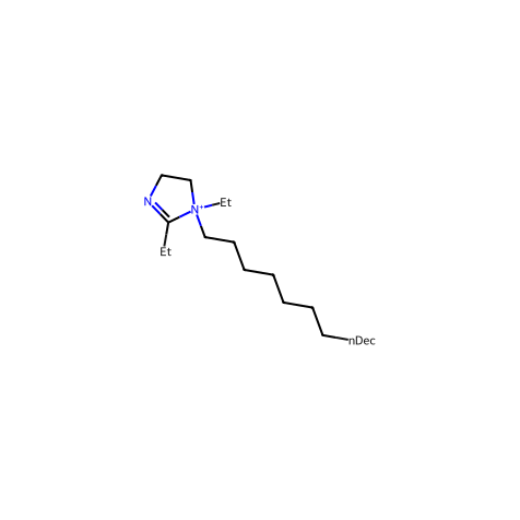 CCCCCCCCCCCCCCCCC[N+]1(CC)CCN=C1CC